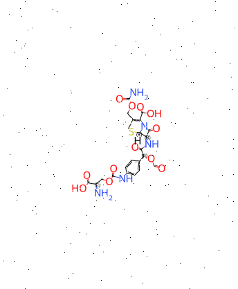 NC(=O)OCC1=C(C(=O)O)N2C(=O)[C@@H](NC(=O)[C@H](OC=O)c3ccc(NC(=O)OC[C@@H](N)C(=O)O)cc3)[C@H]2SC1